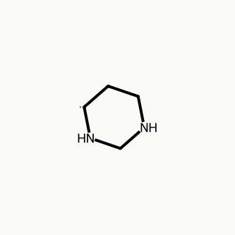 [CH]1CCNCN1